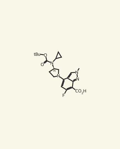 Cn1cc2c(N3CC[C@@H](N(C(=O)OC(C)(C)C)C4CC4)C3)cc(F)c(C(=O)O)c2n1